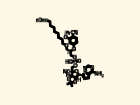 CCCCCCCCCCCCCCCCCCOC[C@H](COP(=O)(O)OC[C@@]1(C#N)O[C@@H](c2ccc3c(N)ncnn23)[C@@H]2OC(C)(C)O[C@@H]21)Oc1ccc(C#N)c(OC(C)C)c1